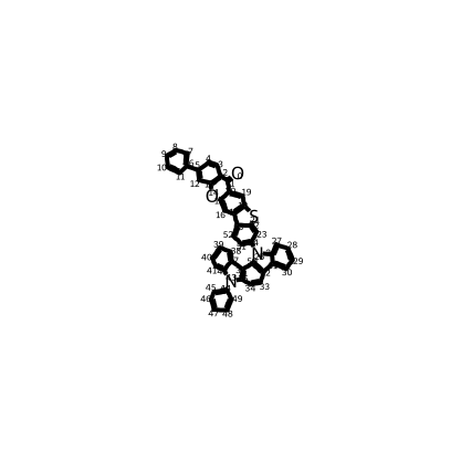 O=c1c2ccc(-c3ccccc3)cc2oc2cc3c(cc12)sc1cc(-n2c4ccccc4c4ccc5c(c6ccccc6n5-c5ccccc5)c42)ccc13